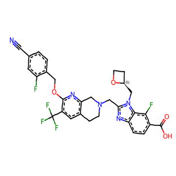 N#Cc1ccc(COc2nc3c(cc2C(F)(F)F)CCN(Cc2nc4ccc(C(=O)O)c(F)c4n2C[C@@H]2CCO2)C3)c(F)c1